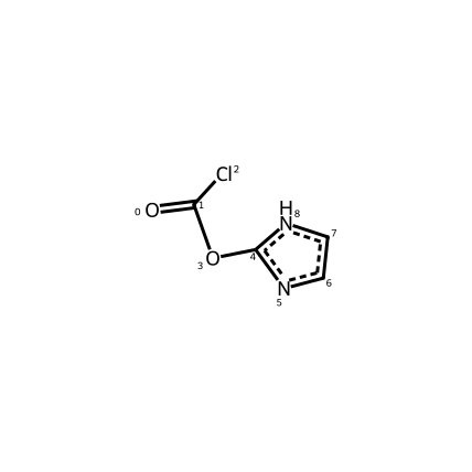 O=C(Cl)Oc1ncc[nH]1